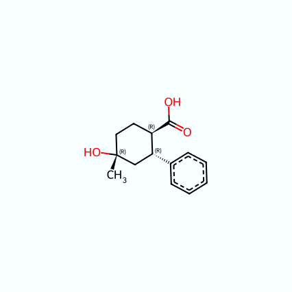 C[C@@]1(O)CC[C@@H](C(=O)O)[C@H](c2ccccc2)C1